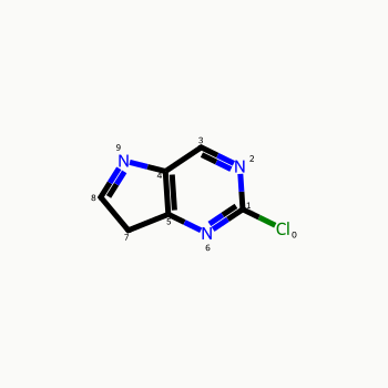 Clc1ncc2c(n1)CC=N2